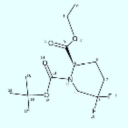 CCOC(=O)[C@H]1CCC(F)(F)CN1C(=O)OC(C)(C)C